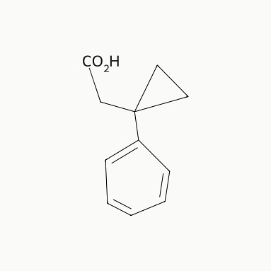 O=C(O)CC1(c2ccccc2)CC1